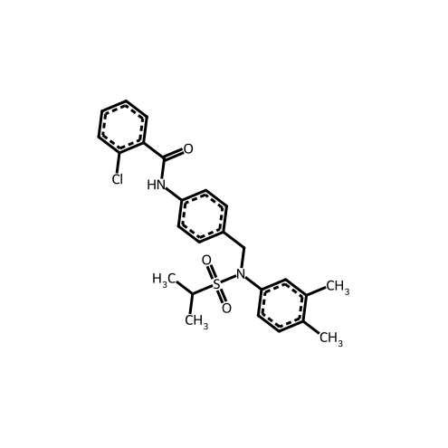 Cc1ccc(N(Cc2ccc(NC(=O)c3ccccc3Cl)cc2)S(=O)(=O)C(C)C)cc1C